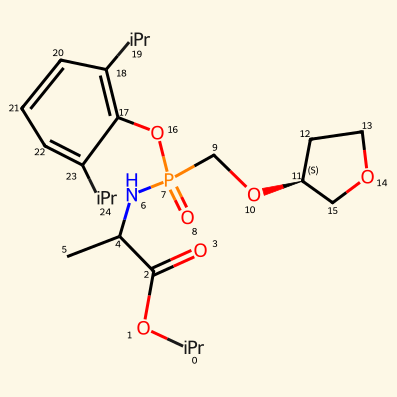 CC(C)OC(=O)C(C)NP(=O)(CO[C@H]1CCOC1)Oc1c(C(C)C)cccc1C(C)C